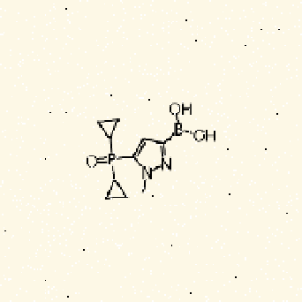 Cn1nc(B(O)O)cc1P(=O)(C1CC1)C1CC1